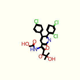 CC(C)(O)C(=O)c1oc2nc(-c3ccc(Cl)cc3Cl)c(-c3ccc(Cl)cc3)cc2c1NC(=O)CO